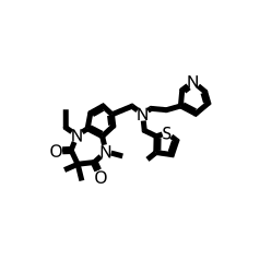 CCN1C(=O)C(C)(C)C(=O)N(C)c2cc(CN(CCc3cccnc3)Cc3sccc3C)ccc21